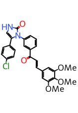 COc1cc(/C=C/C(=O)c2cccc(-n3c(-c4ccc(Cl)cc4)c[nH]c3=O)c2)cc(OC)c1OC